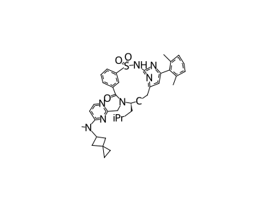 Cc1cccc(C)c1-c1cc2nc(n1)NS(=O)(=O)c1cccc(c1)C(=O)N(Cc1nccc(N(C)C3CC4(CC4)C3)n1)[C@H](CC(C)C)CC2